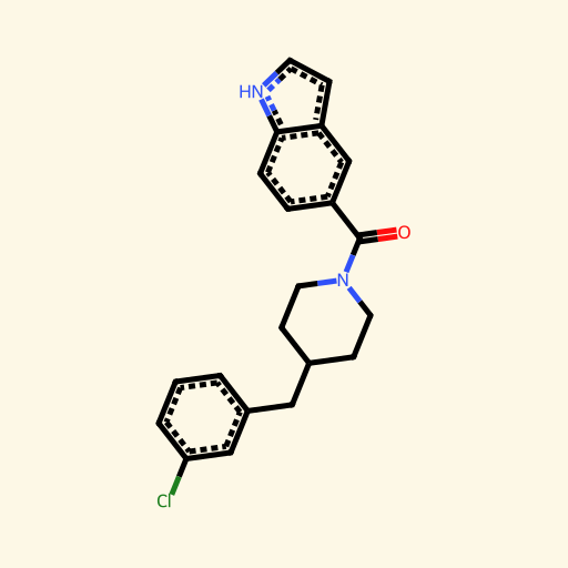 O=C(c1ccc2[nH]ccc2c1)N1CCC(Cc2cccc(Cl)c2)CC1